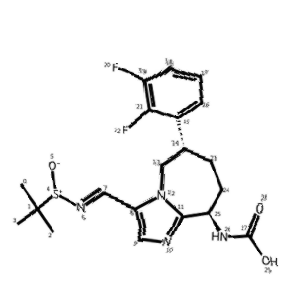 CC(C)(C)[S+]([O-])/N=C/c1cnc2n1C[C@H](c1cccc(F)c1F)CC[C@H]2NC(=O)O